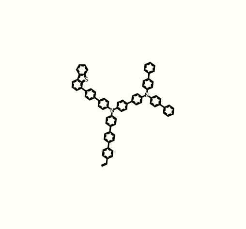 C=Cc1ccc(-c2ccc(-c3ccc(N(c4ccc(-c5ccc(-c6cccc7c6sc6ccccc67)cc5)cc4)c4ccc(-c5ccc(N(c6ccc(-c7ccccc7)cc6)c6ccc(-c7ccccc7)cc6)cc5)cc4)cc3)cc2)cc1